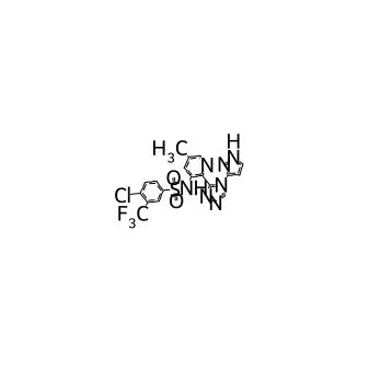 Cc1cnc(-c2nncn2-c2cc[nH]n2)c(NS(=O)(=O)c2ccc(Cl)c(C(F)(F)F)c2)c1